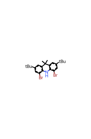 CC(C)(C)c1cc(Br)c2c(c1)C(C)(C)c1cc(C(C)(C)C)cc(Br)c1N2